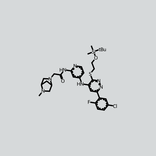 CN1CC2CC1CN2CC(=O)Nc1cc(Nc2cc(-c3cc(Cl)ccc3F)nnc2SCCO[Si](C)(C)C(C)(C)C)ccn1